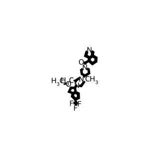 CCOC1Cc2cc(C(F)(F)F)ccc2C1N1CCN(C2(C)CCN(C(=O)c3cccc4cnccc34)CC2)C[C@@H]1C